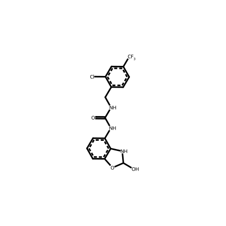 O=C(NCc1ccc(C(F)(F)F)cc1Cl)Nc1cccc2c1NC(O)O2